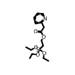 CCO[Si](CCOC(=O)Cc1ccccn1)(OCC)OCC